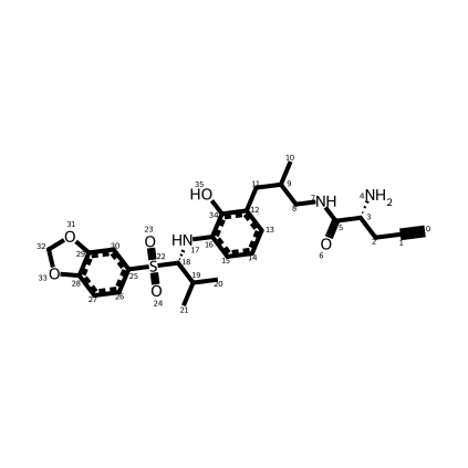 C#CC[C@@H](N)C(=O)NCC(C)Cc1cccc(N[C@H](C(C)C)S(=O)(=O)c2ccc3c(c2)OCO3)c1O